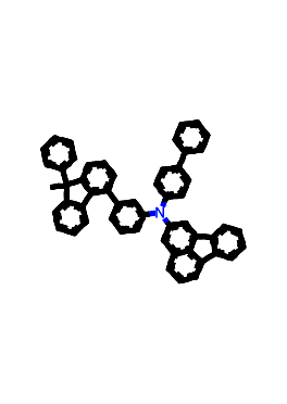 CC1(c2ccccc2)c2ccccc2-c2c(-c3cccc(N(c4ccc(-c5ccccc5)cc4)c4cc5c6c(cccc6c4)-c4ccccc4-5)c3)cccc21